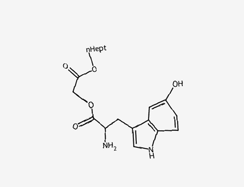 CCCCCCCOC(=O)COC(=O)C(N)Cc1c[nH]c2ccc(O)cc12